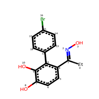 CCC(=NO)c1ccc(O)c(O)c1-c1ccc(Br)cc1